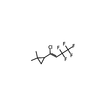 CC1(C)CC1C(Cl)=CC(F)(F)C(F)(F)F